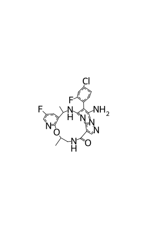 CC1CNC(=O)c2cnn3c(N)c(-c4ccc(Cl)cc4F)c(nc23)NC(C)c2cc(F)cnc2O1